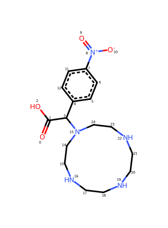 O=C(O)C(c1ccc([N+](=O)[O-])cc1)N1CCNCCNCCNCC1